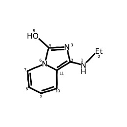 CCNc1nc(O)n2ccccc12